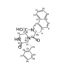 CN(C(=O)O)[C@H](Cc1ccc2ccccc2c1)C(=O)N1CCNC(=O)[C@H]1Cc1ccccc1